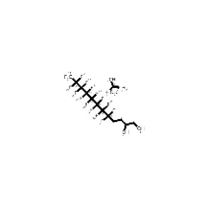 C=C(C)C(=O)O.OCC(O)CCC(F)(F)C(F)(F)C(F)(F)C(F)(F)C(F)(F)C(F)(F)C(F)(F)C(F)(F)F